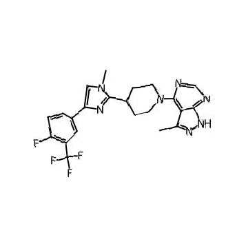 Cc1n[nH]c2ncnc(N3CCC(c4nc(-c5ccc(F)c(C(F)(F)F)c5)cn4C)CC3)c12